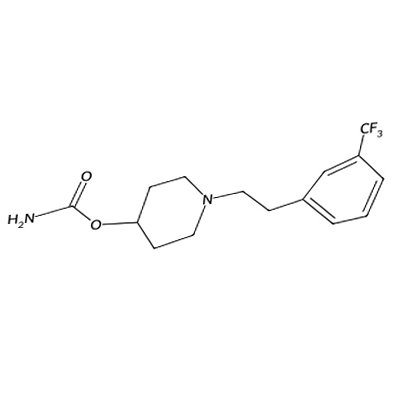 NC(=O)OC1CCN(CCc2cccc(C(F)(F)F)c2)CC1